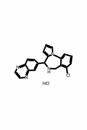 Cl.Clc1cccc2c1CNC(c1ccc3nccnc3c1)c1cccn1-2